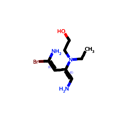 CCN(CCO)C(/C=C(\N)Br)=C/N